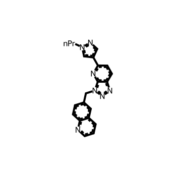 CCCn1cc(-c2ccc3nnn(Cc4ccc5ncccc5c4)c3n2)cn1